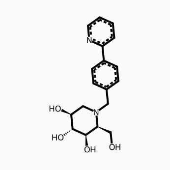 OC[C@H]1[C@@H](O)[C@H](O)[C@@H](O)CN1Cc1ccc(-c2ccccn2)cc1